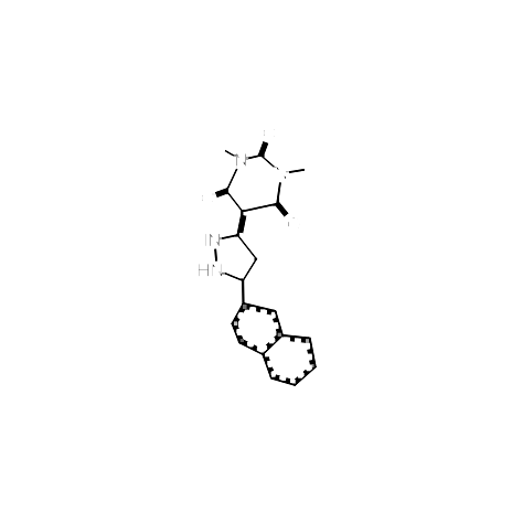 CN1C(=O)C(=C2CC(c3ccc4ccccc4c3)NN2)C(=O)N(C)C1=O